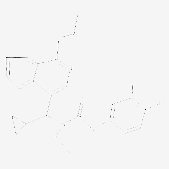 CCOc1ncc(C(C2CC2)N(CC)C(=O)Nc2ccc(F)c(Cl)c2)c2ccccc12